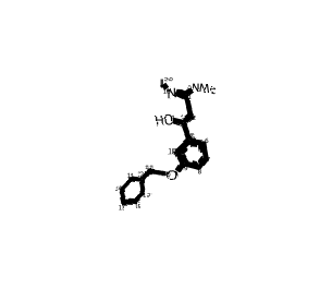 CNC(CC(O)c1cccc(OCC2CCCCC2)c1)=NI